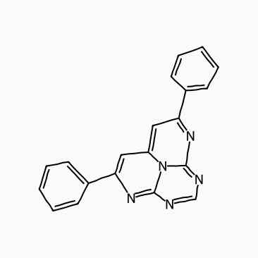 C1=NC2=NC(c3ccccc3)=CC3=CC(c4ccccc4)=NC(=N1)N32